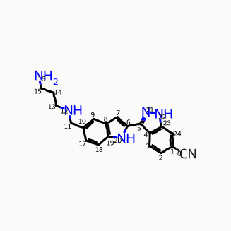 N#Cc1ccc2c(-c3cc4cc(CNCCCN)ccc4[nH]3)n[nH]c2c1